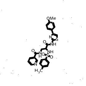 COc1ccc(-c2csc(NC(=O)C(CNC(=O)c3cccnc3)NS(=O)(=O)c3ccc(C)cc3)n2)cc1